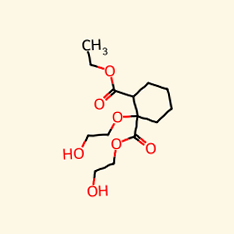 CCOC(=O)C1CCCCC1(OCCO)C(=O)OCCO